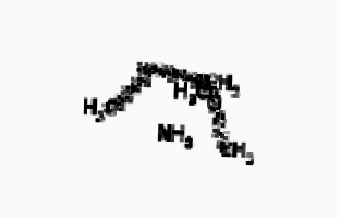 CCCCCCCCOCCC(C)(C)OCCCCCCCCC1CC1CCCCCCCC.N